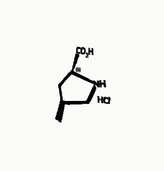 C=C1CN[C@H](C(=O)O)C1.Cl